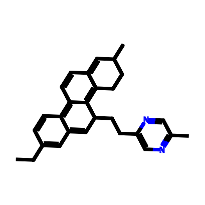 CCc1ccc2c(c1)=CC(CCc1cnc(C)cn1)c1c3c(ccc1=2)=CC(C)CC3